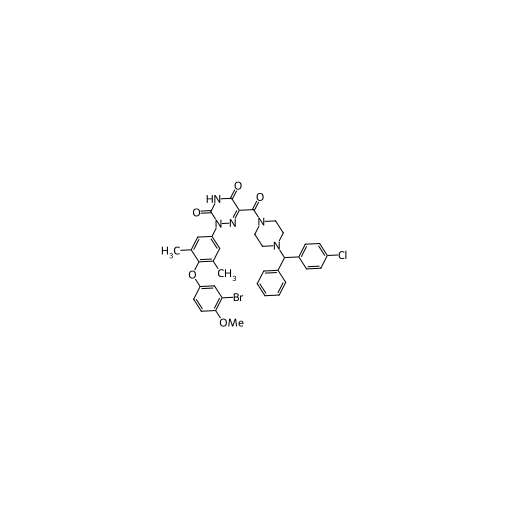 COc1ccc(Oc2c(C)cc(-n3nc(C(=O)N4CCN(C(c5ccccc5)c5ccc(Cl)cc5)CC4)c(=O)[nH]c3=O)cc2C)cc1Br